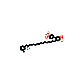 Cc1cccc(CC(=O)CCCCCCCCCCCCCCc2cc3c(cc2-c2ccc(S(C)(=O)=O)cc2)OCO3)c1